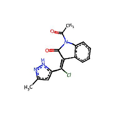 CC(=O)N1C(=O)C(=C(Cl)c2cc(C)n[nH]2)c2ccccc21